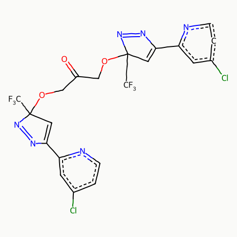 O=C(COC1(C(F)(F)F)C=C(c2cc(Cl)ccn2)N=N1)COC1(C(F)(F)F)C=C(c2cc(Cl)ccn2)N=N1